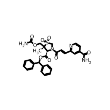 C[C@]1(COC(N)=O)[C@H](C(=O)OC(c2ccccc2)c2ccccc2)N(C(=O)/C=C/c2cc(C(N)=O)ccn2)CS1(=O)=O